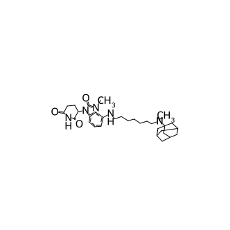 CN(CCCCCCCNc1cccc2c1n(C)c(=O)n2C1CCC(=O)NC1=O)C12CC3CC(CC(C3)C1)C2